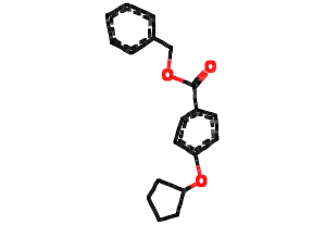 O=C(OCc1ccccc1)c1ccc(OC2CCCC2)cc1